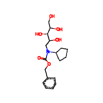 O=C(OCc1ccccc1)N(CC(O)C(O)C(O)CO)C1CCCC1